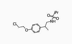 CC(CNS(=O)(=O)C(C)C)c1ccc(OCCCl)cc1